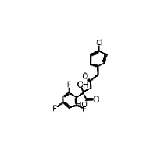 O=C(Cc1ccc(Cl)cc1)CC(O)(C(=O)O)c1c(F)cc(F)cc1F